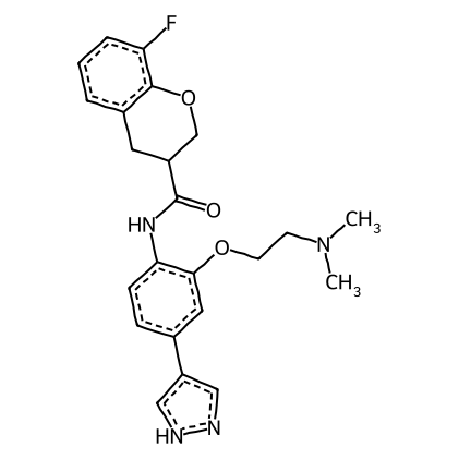 CN(C)CCOc1cc(-c2cn[nH]c2)ccc1NC(=O)C1COc2c(F)cccc2C1